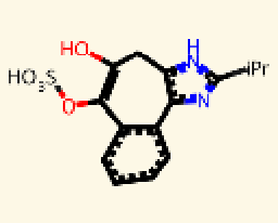 CC(C)c1nc2c([nH]1)CC(O)=C(OS(=O)(=O)O)c1ccccc1-2